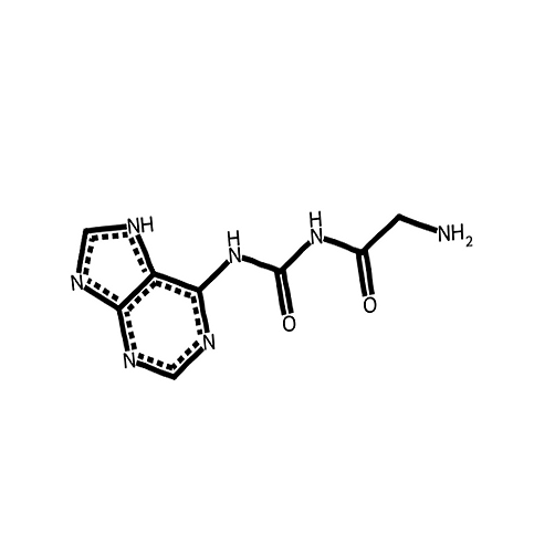 NCC(=O)NC(=O)Nc1ncnc2nc[nH]c12